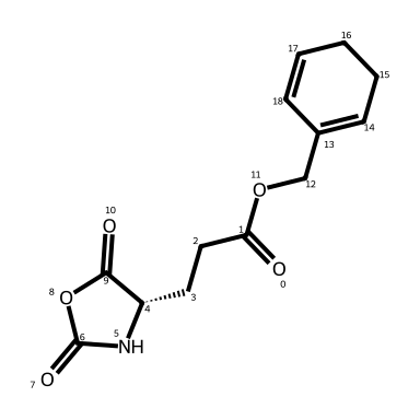 O=C(CC[C@@H]1NC(=O)OC1=O)OCC1=CCCC=C1